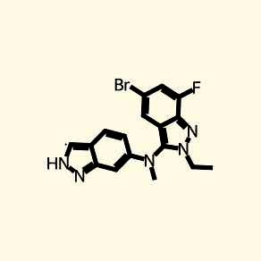 CCn1nc2c(F)cc(Br)cc2c1N(C)c1ccc2[c][nH]nc2c1